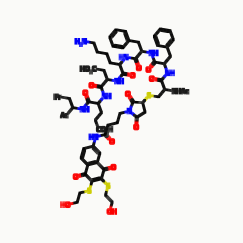 CC(=O)NC(CSC1CC(=O)N(CCCC(=O)Nc2ccc3c(c2)C(=O)C(SCCO)=C(SCCO)C3=O)C1=O)C(=O)NC(Cc1ccccc1)C(=O)NC(Cc1ccccc1)C(=O)NC(CCCCN)C(=O)NC(CC(=O)O)C(=O)NC(CCC(=O)O)C(=O)NC(CC(C)C)C(C)=O